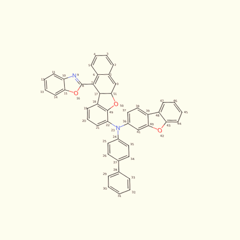 C1=c2ccccc2=C(c2nc3ccccc3o2)C2c3cccc(N(c4ccc(-c5ccccc5)cc4)c4ccc5c(c4)oc4ccccc45)c3OC12